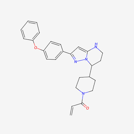 C=CC(=O)N1CCC(C2CCNc3cc(-c4ccc(Oc5ccccc5)cc4)nn32)CC1